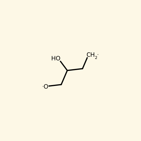 [CH2]CC(O)C[O]